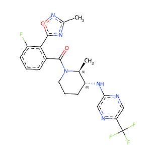 Cc1noc(-c2c(F)cccc2C(=O)N2CCC[C@@H](Nc3cnc(C(F)(F)F)cn3)[C@@H]2C)n1